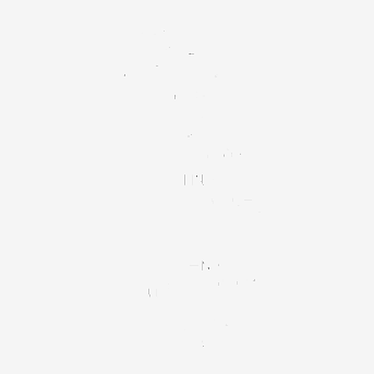 C=C(CCNC(=O)c1occc1C)NC(=O)COc1ccc(Cl)c(F)c1